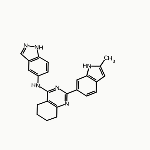 Cc1cc2ccc(-c3nc4c(c(Nc5ccc6[nH]ncc6c5)n3)CCCC4)cc2[nH]1